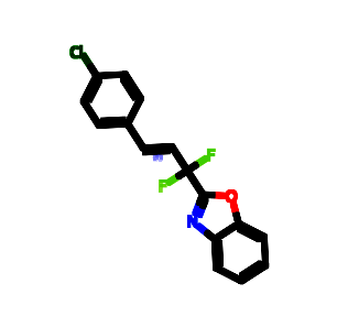 FC(F)(/C=C/c1ccc(Cl)cc1)c1nc2ccccc2o1